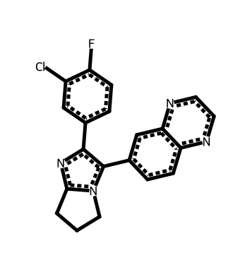 Fc1ccc(-c2nc3n(c2-c2ccc4nccnc4c2)CCC3)cc1Cl